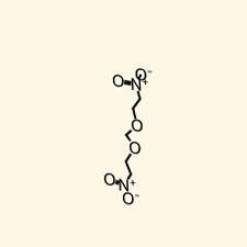 O=[N+]([O-])CCOCOCC[N+](=O)[O-]